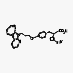 CCCOC(Cc1ccc(OCCCn2c3ncccc3c3cccnc32)cc1)C(=O)O